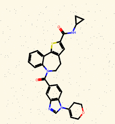 O=C(NC1CC1)c1cc2c(s1)-c1ccccc1N(C(=O)c1ccc3c(c1)ncn3C1=CCOCC1)CC2